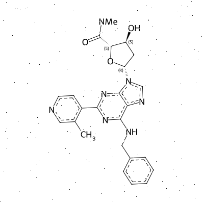 CNC(=O)[C@H]1O[C@@H](n2cnc3c(NCc4ccccc4)nc(-c4ccncc4C)nc32)C[C@@H]1O